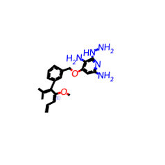 C=C/C=C(/OC)C(=C(C)C)c1cccc(COc2cc(N)nc(NN)c2N)c1